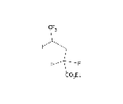 CCOC(=O)C(F)(F)CC(I)C(F)(F)F